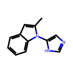 Cc1cc2ccccc2n1-c1cnc[nH]1